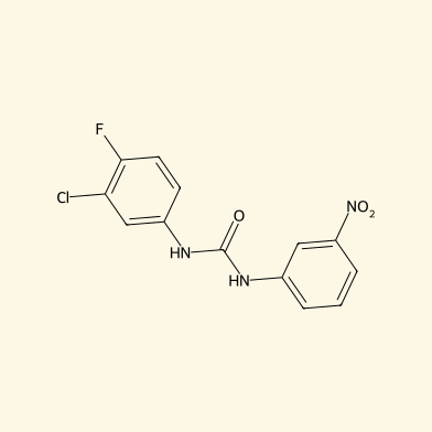 O=C(Nc1cccc([N+](=O)[O-])c1)Nc1ccc(F)c(Cl)c1